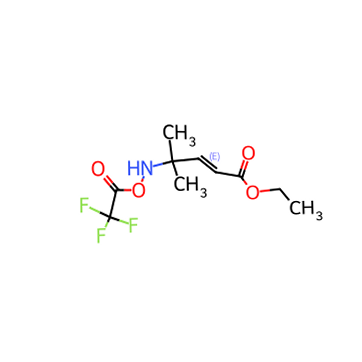 CCOC(=O)/C=C/C(C)(C)NOC(=O)C(F)(F)F